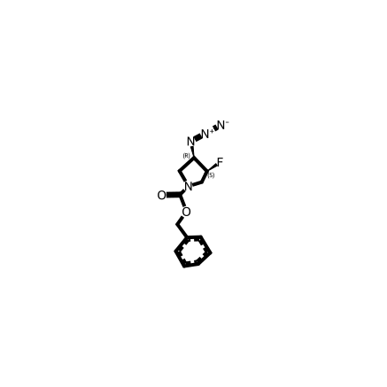 [N-]=[N+]=N[C@@H]1CN(C(=O)OCc2ccccc2)C[C@@H]1F